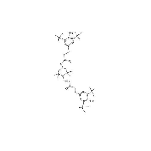 CC(C)(C)c1cc(CCC(=O)CCN2C(C)(C)CC(OC(=O)CCc3cc(C(C)(C)C)c(O)c(C(C)(C)C)c3)CC2(C)C)cc(C(C)(C)C)c1O